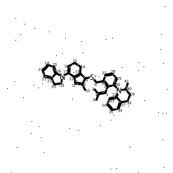 CC(C)=Cc1c(CSC2C(C)=CC3=C2CCC=C3N2CCc3ccccc32)cccc1N1c2ccccc2CCC1C